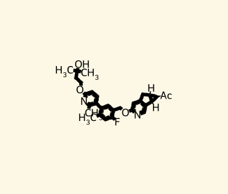 CC(=O)[C@H]1[C@@H]2Cc3cc(OCc4cc(-c5ccc(OCCC(C)(C)O)nc5C)c(C)cc4F)ncc3[C@@H]21